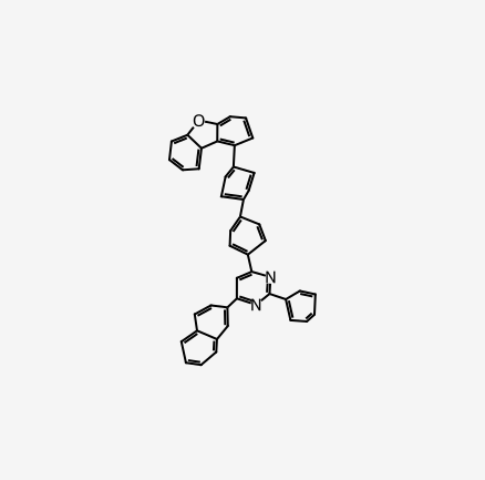 c1ccc(-c2nc(-c3ccc(-c4ccc(-c5cccc6oc7ccccc7c56)cc4)cc3)cc(-c3ccc4ccccc4c3)n2)cc1